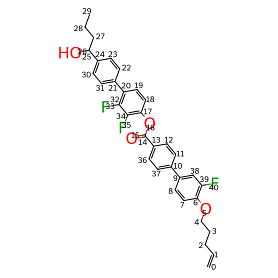 C=CCCCOc1ccc(-c2ccc(C(=O)Oc3ccc(-c4ccc(C(O)CCC)cc4)c(F)c3F)cc2)cc1F